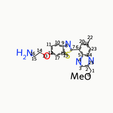 COCc1cnc2c(-c3nc4ccc(OCCN)cc4s3)cc(C)cc2n1